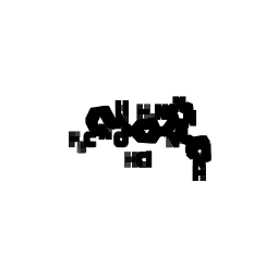 Cl.Nc1ncnc2c1c(-c1ccc(C(=O)Nc3cccc(C(F)(F)F)n3)cc1)nn2C1CC2CNC1C2